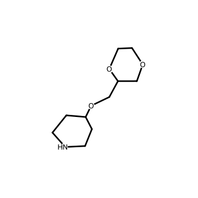 C1CC(OCC2COCCO2)CCN1